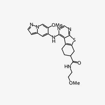 COCCNC(=O)C1CCc2c(sc3ncnc(Nc4cc5ccnn5cc4OC)c23)C1